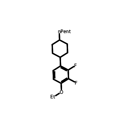 CCCCCC1CCC(c2ccc(OCC)c(F)c2F)CC1